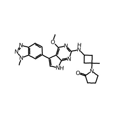 COc1nc(NC2CC(C)(N3CCCC3=O)C2)nc2[nH]cc(-c3ccc4nnn(C)c4c3)c12